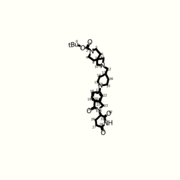 CC(C)(C)OC(=O)N1CCC2(CC1)CN(CC1CCN(c3ccc4c(c3)CN(C3CCC(=O)NC3=O)C4=O)CC1)C2